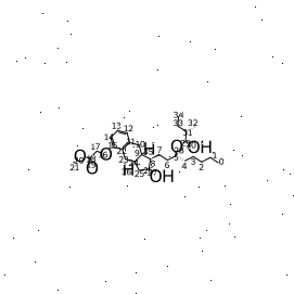 CCCCC[C@H](CC[C@@H]1[C@H]2Cc3cccc(OCC(=O)OC)c3C[C@H]2C[C@H]1O)OC(O)[C@@H](C)CC